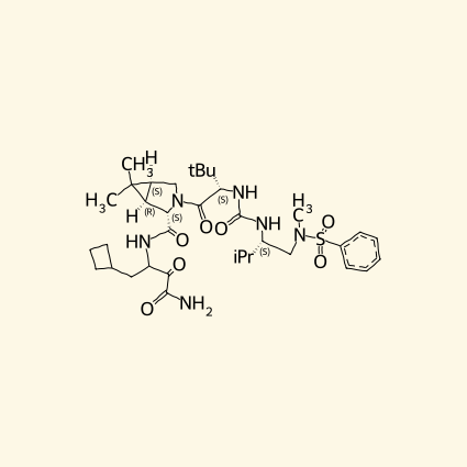 CC(C)[C@@H](CN(C)S(=O)(=O)c1ccccc1)NC(=O)N[C@H](C(=O)N1C[C@H]2[C@@H]([C@H]1C(=O)NC(CC1CCC1)C(=O)C(N)=O)C2(C)C)C(C)(C)C